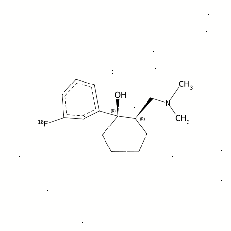 CN(C)C[C@H]1CCCC[C@]1(O)c1cccc([18F])c1